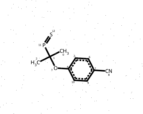 CC(C)(Oc1ccc(C#N)cc1)P=S